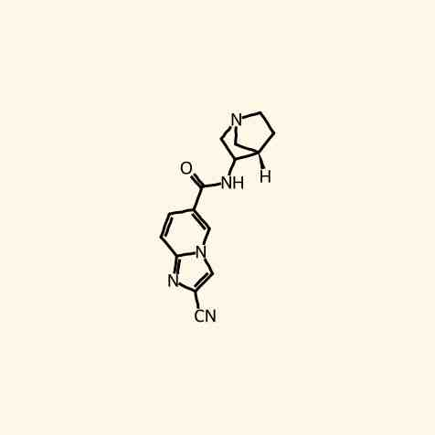 N#Cc1cn2cc(C(=O)NC3CN4CC[C@H]3C4)ccc2n1